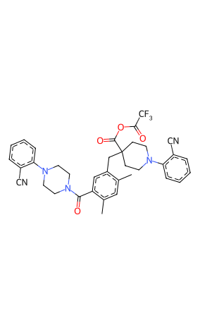 Cc1cc(C)c(C(=O)N2CCN(c3ccccc3C#N)CC2)cc1CC1(C(=O)OC(=O)C(F)(F)F)CCN(c2ccccc2C#N)CC1